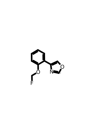 FCOc1ccccc1-c1co[c]n1